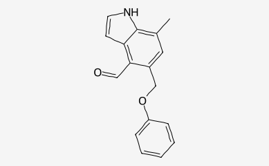 Cc1cc(COc2ccccc2)c(C=O)c2cc[nH]c12